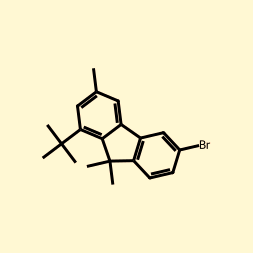 Cc1cc2c(c(C(C)(C)C)c1)C(C)(C)c1ccc(Br)cc1-2